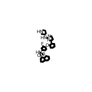 O=S(=O)(Nc1ccc(Oc2ccccc2-c2ccnc(N[C@H]3CCCNC3)n2)c(F)c1)c1cccc2ccccc12